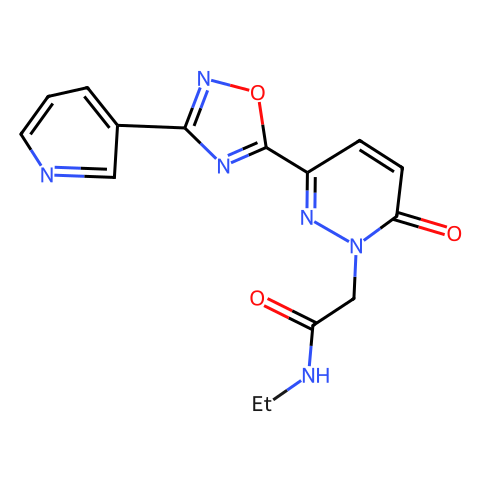 CCNC(=O)Cn1nc(-c2nc(-c3cccnc3)no2)ccc1=O